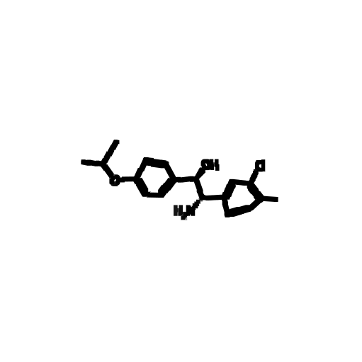 Cc1ccc([C@H](N)[C@H](O)c2ccc(OC(C)C)cc2)cc1Cl